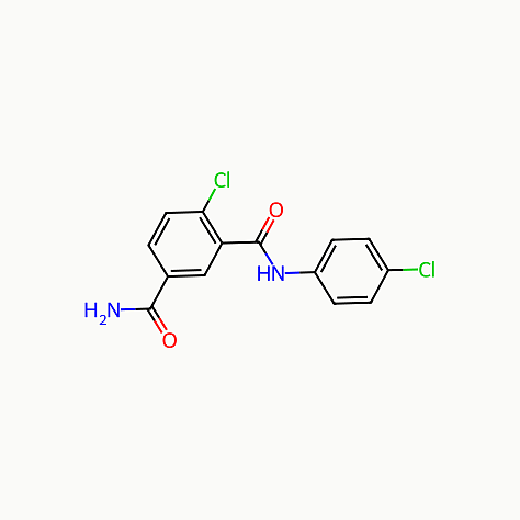 NC(=O)c1ccc(Cl)c(C(=O)Nc2ccc(Cl)cc2)c1